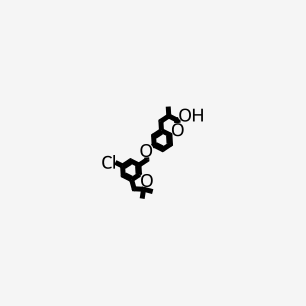 CC(Cc1cccc(OCc2cc(Cl)cc3c2OC(C)(C)C3)c1)C(=O)O